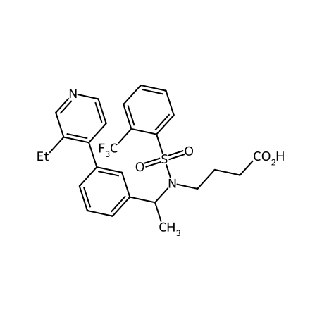 CCc1cnccc1-c1cccc(C(C)N(CCCC(=O)O)S(=O)(=O)c2ccccc2C(F)(F)F)c1